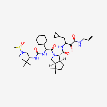 C=CCNC(=O)C(=O)C(CC1CC1)NC(=O)[C@@H]1[C@H]2CCC(C)(C)[C@H]2CN1C(=O)[C@@H](NC(=O)N[C@H](CN(C)[S+](C)[O-])C(C)(C)C)C1CCCCC1